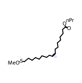 CCCOC(=O)CCCCCCC/C=C\CCCCCCCCSOC